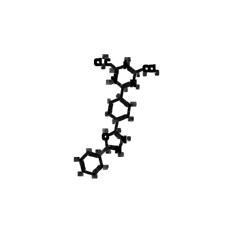 ClC(Cl)(Cl)c1nc(-c2ccc(-c3nnc(-c4ccccc4)o3)cc2)nc(C(Cl)(Cl)Cl)n1